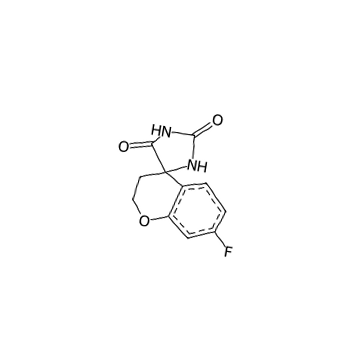 O=C1NC(=O)C2(CCOc3cc(F)ccc32)N1